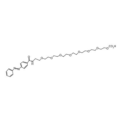 O=C(O)OCCOCCOCCOCCOCCOCCOCCOCCNC(=O)c1ccc(/N=N/c2ccccc2)cc1